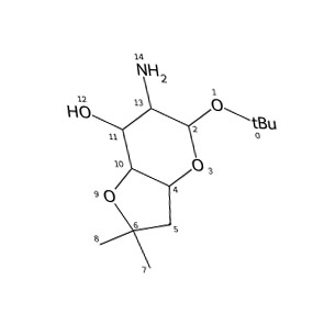 CC(C)(C)OC1OC2CC(C)(C)OC2C(O)C1N